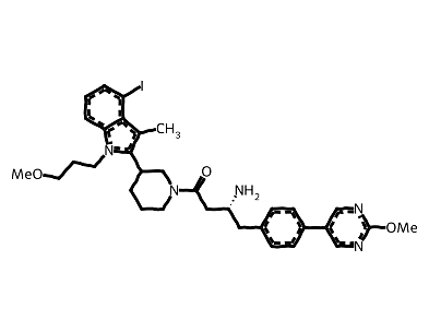 COCCCn1c(C2CCCN(C(=O)C[C@H](N)Cc3ccc(-c4cnc(OC)nc4)cc3)C2)c(C)c2c(I)cccc21